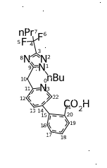 CCCCn1nc(C(F)(F)CCC)nc1Cc1ccc(-c2ccccc2C(=O)O)cn1